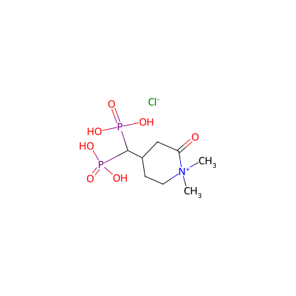 C[N+]1(C)CCC(C(P(=O)(O)O)P(=O)(O)O)CC1=O.[Cl-]